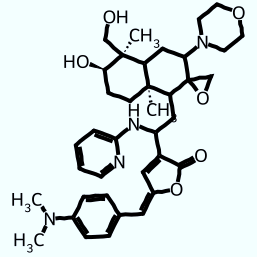 CN(C)c1ccc(/C=C2\C=C(C(CC3C4(CO4)C(N4CCOCC4)CC4[C@]3(C)CC[C@@H](O)[C@@]4(C)CO)Nc3ccccn3)C(=O)O2)cc1